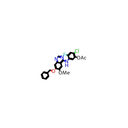 COc1cc2c(Nc3cc(OC(C)=O)c(Cl)cc3F)ncnc2cc1OCc1ccccc1